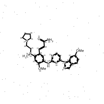 COc1ccc2cnn(-c3ccnc(Nc4cc(C=CC(N)=O)c(N(C)CCN5CCCC5)cc4OC)n3)c2c1